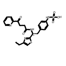 CCc1csc([C@H](Cc2ccc(NS(=O)(=O)O)cc2)NC(=O)CCC(=O)c2ccccn2)n1